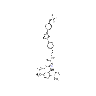 CCS/C(=N\C(=O)NCCc1ccc(-c2ncn(-c3ccc(OC(F)(F)F)cc3)n2)cc1)Nc1cc(C)ccc1C(C)C